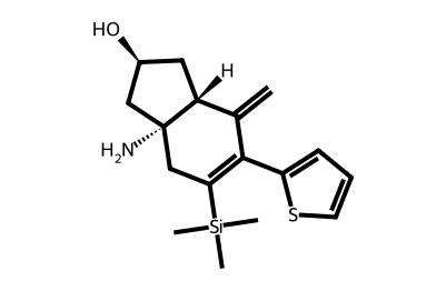 C=C1C(c2cccs2)=C([Si](C)(C)C)C[C@@]2(N)C[C@@H](O)C[C@H]12